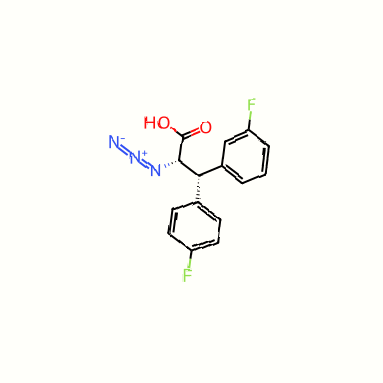 [N-]=[N+]=N[C@H](C(=O)O)[C@@H](c1ccc(F)cc1)c1cccc(F)c1